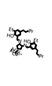 CC(=O)[O-].CC(=O)[O-].CCc1cc(CCC(C)C)cc(C=NC2CCCC2N=Cc2cc(CCC(C)C)cc(CC)c2O)c1O.[Co+2]